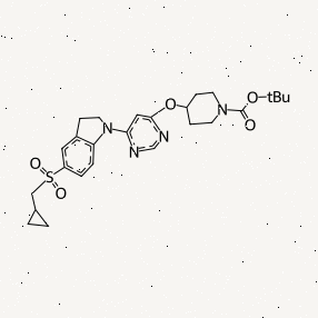 CC(C)(C)OC(=O)N1CCC(Oc2cc(N3CCc4cc(S(=O)(=O)CC5CC5)ccc43)ncn2)CC1